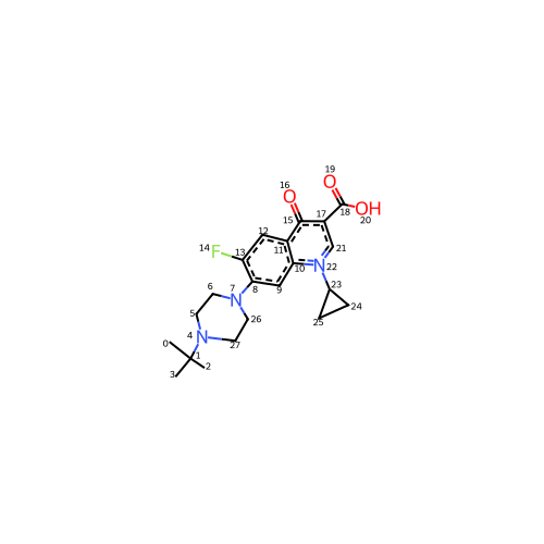 CC(C)(C)N1CCN(c2cc3c(cc2F)c(=O)c(C(=O)O)cn3C2CC2)CC1